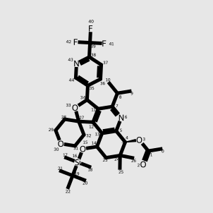 CC(=O)O[C@@H]1c2nc(C(C)C)c3c(c2C(O[Si](C)(C)C(C)(C)C)CC1(C)C)C1(CCOCC1)OC3c1ccc(C(F)(F)F)nc1